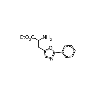 CCOC(=O)[C@@H](N)Cc1cnc(-c2ccccc2)o1